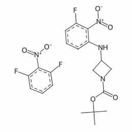 CC(C)(C)OC(=O)N1CC(Nc2cccc(F)c2[N+](=O)[O-])C1.O=[N+]([O-])c1c(F)cccc1F